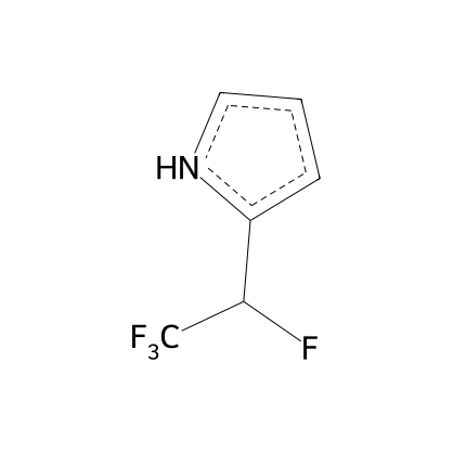 FC(c1ccc[nH]1)C(F)(F)F